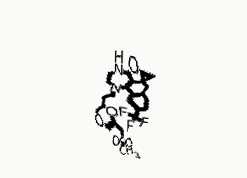 CS(=O)(=O)CC1COCC(CCN2CCNC(=O)C3=C2c2cc(C(F)(F)F)ccc2CC32CC2)O1